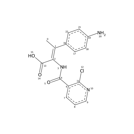 CC(=C(NC(=O)c1cccnc1Cl)C(=O)O)c1ccc(N)cc1